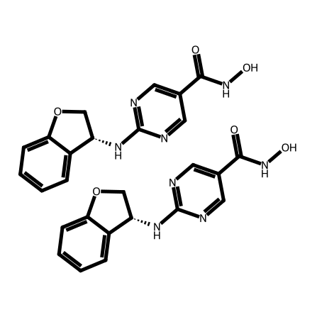 O=C(NO)c1cnc(N[C@H]2COc3ccccc32)nc1.O=C(NO)c1cnc(N[C@H]2COc3ccccc32)nc1